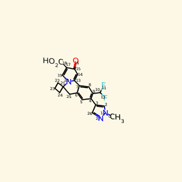 Cn1cc(-c2cc3c(cc2C(F)F)-c2cc(=O)c(C(=O)O)cn2C2(CCC2)C3)cn1